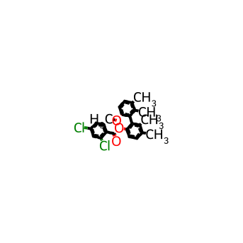 COc1ccc(C)c(C)c1-c1c(OC(=O)c2ccc(Cl)cc2Cl)ccc(C)c1C